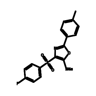 CSc1oc(-c2ccc(C)cc2)nc1S(=O)(=O)c1ccc(F)cc1